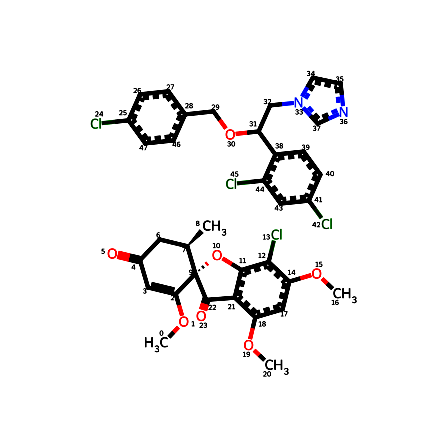 COC1=CC(=O)C[C@@H](C)[C@]12Oc1c(Cl)c(OC)cc(OC)c1C2=O.Clc1ccc(COC(Cn2ccnc2)c2ccc(Cl)cc2Cl)cc1